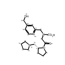 O=C(O)N(CC(=O)N1CCC[C@@H]1CN1CCCC1)Cc1cc(CO)ccn1